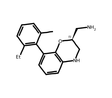 CCc1cccc(C)c1-c1cccc2c1O[C@@H](CN)CN2